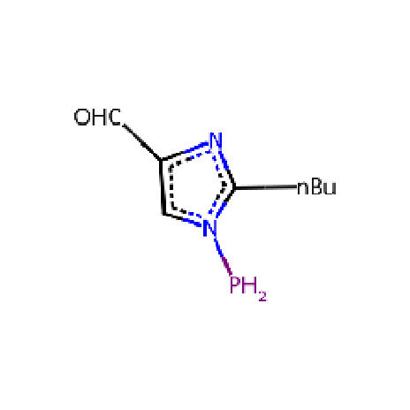 CCCCc1nc(C=O)cn1P